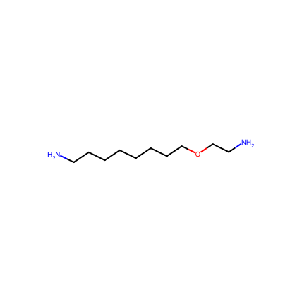 NCCCCCCCCOCCN